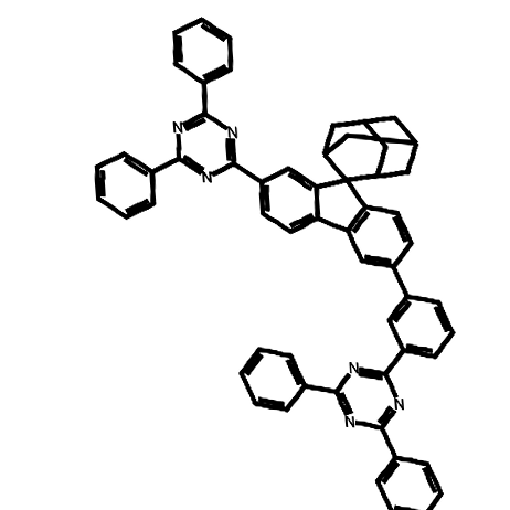 c1ccc(-c2nc(-c3ccccc3)nc(-c3cccc(-c4ccc5c(c4)-c4ccc(-c6nc(-c7ccccc7)nc(-c7ccccc7)n6)cc4C54C5CC6CC(C5)CC4C6)c3)n2)cc1